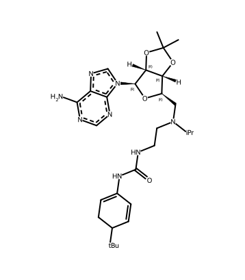 CC(C)N(CCNC(=O)NC1=CCC(C(C)(C)C)C=C1)C[C@H]1O[C@@H](n2cnc3c(N)ncnc32)[C@@H]2OC(C)(C)O[C@@H]21